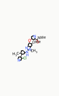 CNC(=O)c1cc(Oc2cc3nc(Nc4ccc(C)c(-c5ccncc5Cl)c4)n(C)c3cc2OC)ccn1